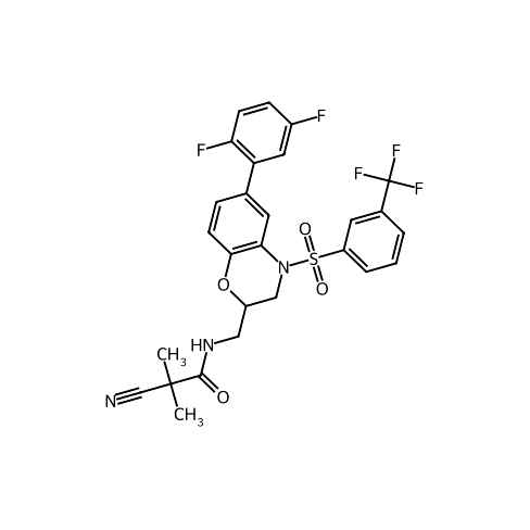 CC(C)(C#N)C(=O)NCC1CN(S(=O)(=O)c2cccc(C(F)(F)F)c2)c2cc(-c3cc(F)ccc3F)ccc2O1